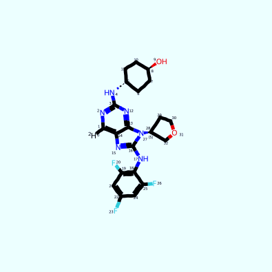 [2H]c1nc(N[C@H]2CC[C@H](O)CC2)nc2c1nc(Nc1c(F)cc(F)cc1F)n2[C@H]1CCOC1